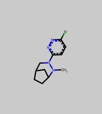 CN1C2CCC(C2)CN1c1ccc(Br)nn1